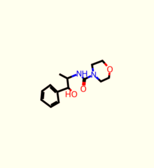 CC(NC(=O)N1CCOCC1)C(O)c1ccccc1